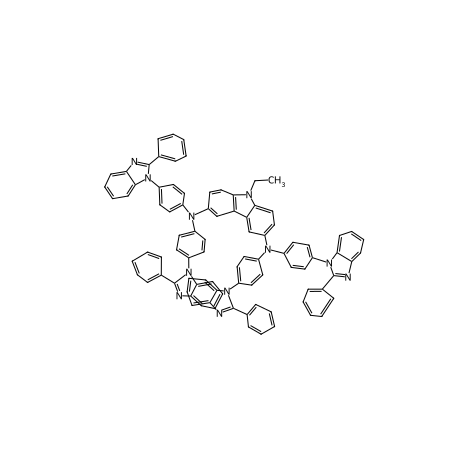 CCn1c2ccc(N(c3ccc(-n4c(-c5ccccc5)nc5ccccc54)cc3)c3ccc(-n4c(-c5ccccc5)nc5ccccc54)cc3)cc2c2cc(N(c3ccc(-n4c(-c5ccccc5)nc5ccccc54)cc3)c3ccc(-n4c(-c5ccccc5)nc5ccccc54)cc3)ccc21